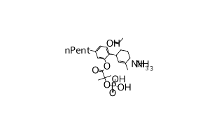 C=C(C)[C@@H]1CCC(C)=C[C@H]1c1c(O)cc(CCCCC)cc1OC(=O)C(C)(C)OP(=O)(O)O.N.N